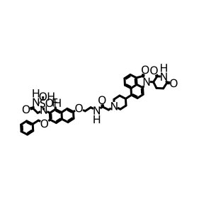 O=C(CN1CCC(c2ccc3c4c(cccc24)C(=O)N3C2CCC(=O)NC2=O)CC1)NCCOc1ccc2cc(OCc3ccccc3)c(N3CC(=O)NS3(O)O)c(F)c2c1